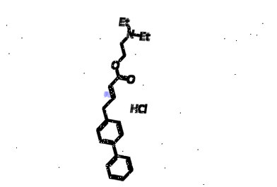 CCN(CC)CCOC(=O)/C=C/Cc1ccc(-c2ccccc2)cc1.Cl